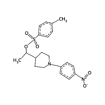 Cc1ccc(S(=O)(=O)OC(C)C2CCN(c3ccc([N+](=O)[O-])cc3)CC2)cc1